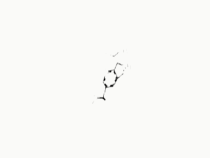 COC(=O)c1cnc2c(c1)CN[C@H]2C(C)C